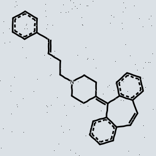 C(=Cc1ccccc1)CCN1CCC(=C2c3ccccc3C=Cc3ccccc32)CC1